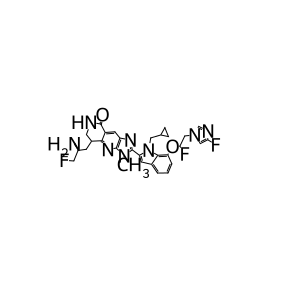 Cn1c(-c2cc3cccc(OC(F)Cn4cnc(F)c4)c3n2CC2CC2)nc2cc3c(nc21)C(C[C@H](N)CF)CNC3=O